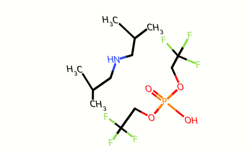 CC(C)CNCC(C)C.O=P(O)(OCC(F)(F)F)OCC(F)(F)F